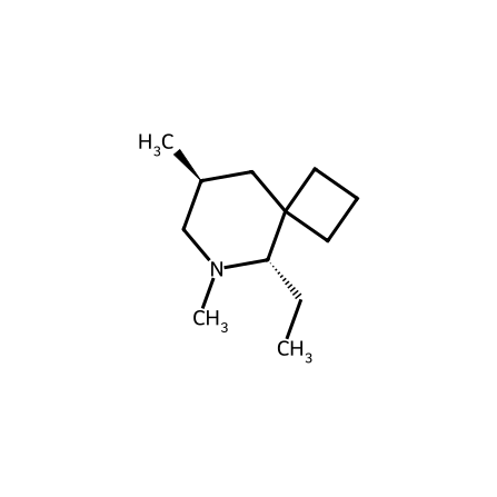 CC[C@@H]1N(C)C[C@@H](C)CC12CCC2